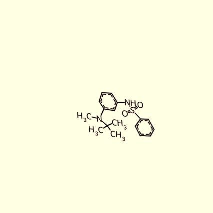 CN(c1cccc(NS(=O)(=O)c2ccccc2)c1)C(C)(C)C